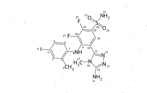 Cc1cc(I)ccc1Nc1c(-c2nnc(N)n2C)cc(S(N)(=O)=O)c(F)c1F